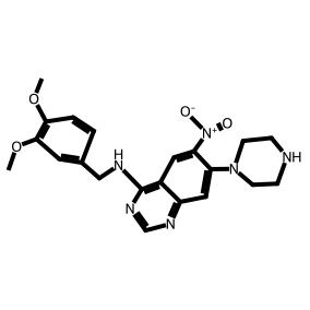 COc1ccc(CNc2ncnc3cc(N4CCNCC4)c([N+](=O)[O-])cc23)cc1OC